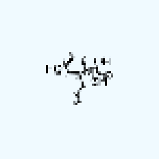 C=CCc1cccc[n+]1P(=O)(O)O.[OH-]